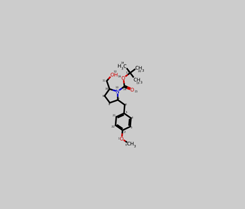 COc1ccc(CC2CCC(CO)N2C(=O)OC(C)(C)C)cc1